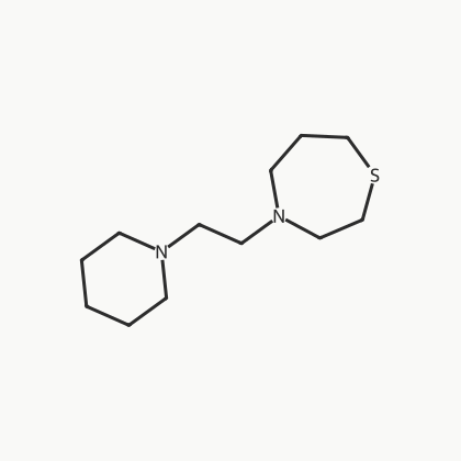 C1CCN(CCN2CCCSCC2)CC1